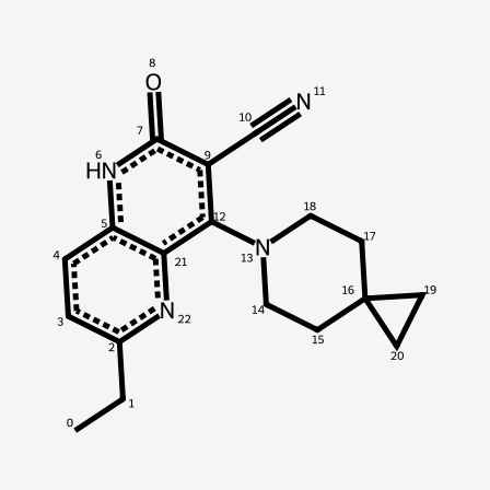 CCc1ccc2[nH]c(=O)c(C#N)c(N3CCC4(CC3)CC4)c2n1